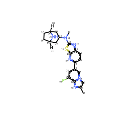 Cc1cn2cc(-c3ccc4nc(N(C)[C@@H]5C[C@H]6CC[C@@H](C5)N6)sc4n3)cc(F)c2n1